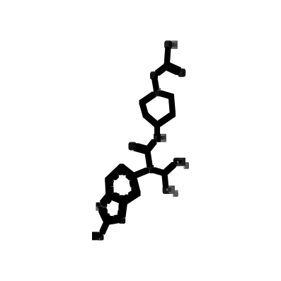 CC(C)N(C(=O)NC1CCN(OC(=O)O)CC1)c1ccc2nc(S)sc2c1